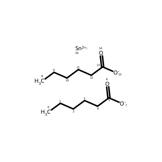 CCCCCC(=O)[O-].CCCCCC(=O)[O-].[Sn+2]